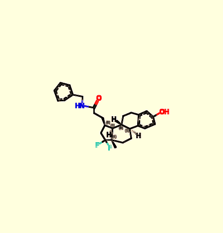 C[C@]12CC[C@@H]3c4ccc(O)cc4CC[C@H]3[C@@H]1[C@H](CCC(=O)NCc1ccccc1)CC2(F)F